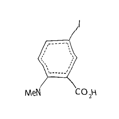 CNc1ccc(I)cc1C(=O)O